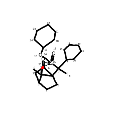 CC1(C)C2CCC1(C(I)(C1CCCCC1)S(=O)(=O)OC1CCCCC1)C(=O)C2